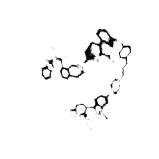 Cn1nc(C2CCC(=O)NC2=O)c2ccc(N3CCN(CCCC4CCC(Oc5cccc(-c6ccc(N7CCc8cccc(C(=O)Nc9nc%10ccccc%10s9)c8C7)nc6C(=O)O)c5)CC4)CC3)cc21